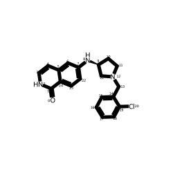 O=c1[nH]ccc2cc(N[C@H]3CCN(Cc4ccccc4Cl)C3)ccc12